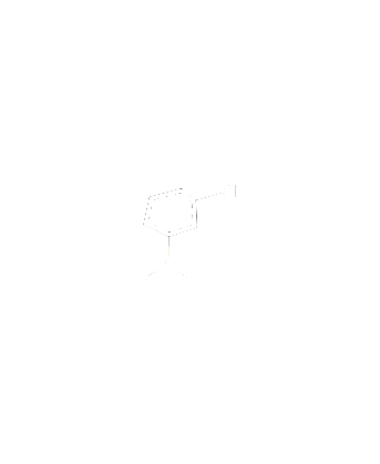 C[S+](C)c1cccc(Cl)c1